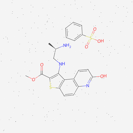 COC(=O)c1sc2ccc3nc(O)ccc3c2c1NC[C@@H](C)N.O=S(=O)(O)c1ccccc1